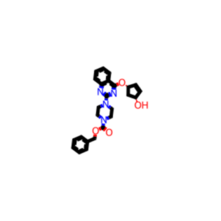 O=C(OCc1ccccc1)N1CCN(c2nc(O[C@@H]3C=C[C@H](O)C3)c3ccccc3n2)CC1